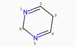 [CH]1N=CCC=N1